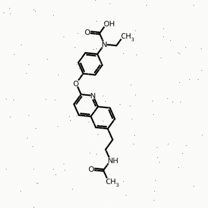 CCN(C(=O)O)c1ccc(Oc2ccc3cc(CCNC(C)=O)ccc3n2)cc1